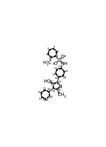 Cc1ccccc1S(=O)(=O)Nc1ccc(-c2nc(C)c(-c3cccnc3)n2O)cc1